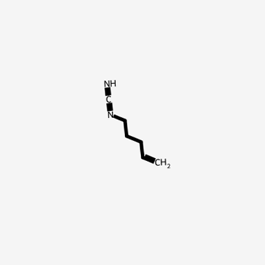 C=CCCCN=C=N